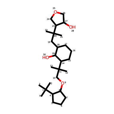 CC(C)(C)C1CCCC1OCC(C)(C)C1CCCC(CC(C)(C)C2COCC2O)C1O